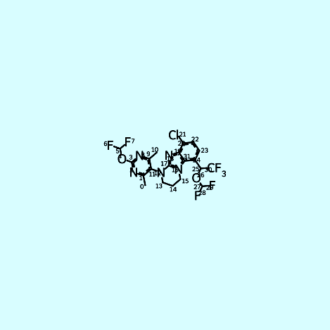 Cc1nc(OC(F)F)nc(C)c1N1CCCn2c1nc1c(Cl)ccc(C(OC(F)F)C(F)(F)F)c12